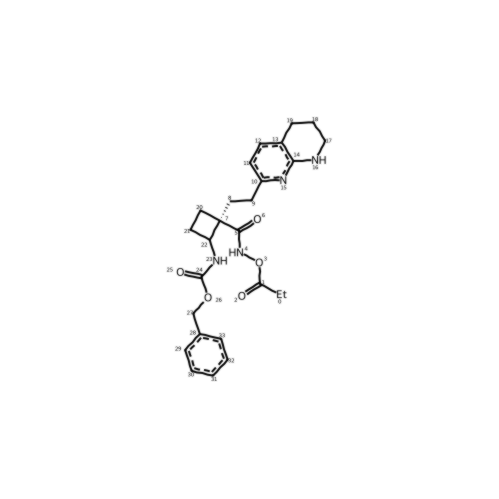 CCC(=O)ONC(=O)[C@]1(CCc2ccc3c(n2)NCCC3)CCC1NC(=O)OCc1ccccc1